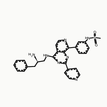 CS(=O)(=O)Nc1cccc(-c2nccc3c(NC[C@H](N)Cc4ccccc4)nc(-c4ccncc4)nc23)c1